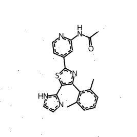 CC(=O)Nc1cc(-c2nc(-c3c(C)cccc3C)c(-c3ncc[nH]3)s2)ccn1